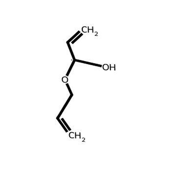 C=CCO[C](O)C=C